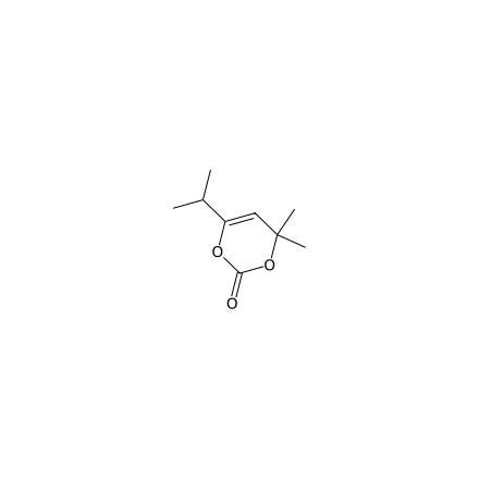 CC(C)C1=CC(C)(C)OC(=O)O1